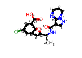 C[C@H](NC(=O)c1cnn2cccnc12)c1cc2cc(Cl)cc(C(=O)O)c2o1